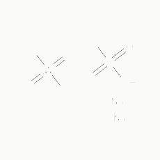 O=S(=O)(O)O.[Na+].[Na+].[O]=[W](=[O])([O-])[O-]